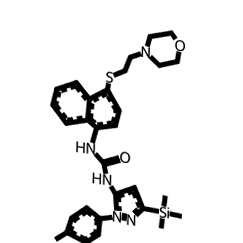 Cc1ccc(-n2nc([Si](C)(C)C)cc2NC(=O)Nc2ccc(SCCN3CCOCC3)c3ccccc23)cc1